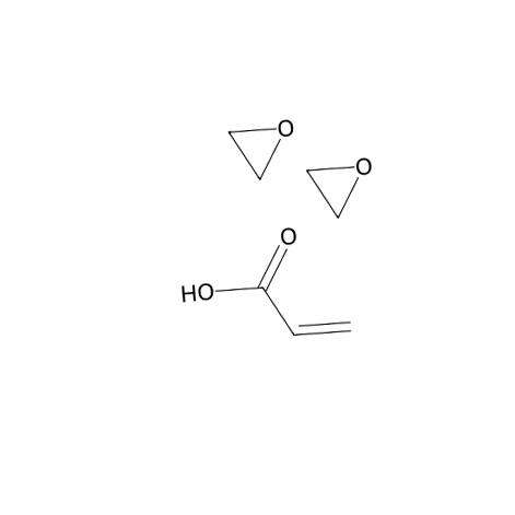 C1CO1.C1CO1.C=CC(=O)O